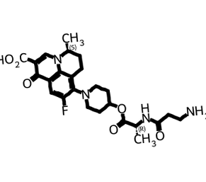 C[C@@H](NC(=O)CCN)C(=O)OC1CCN(c2c(F)cc3c(=O)c(C(=O)O)cn4c3c2CC[C@@H]4C)CC1